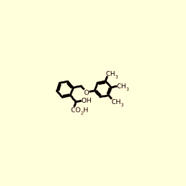 Cc1cc(OCc2ccccc2C(O)C(=O)O)cc(C)c1C